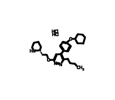 CCCCc1nnc(OCC[C@H]2CCCCN2)cc1-c1ccc(OC2CCCCC2)cc1.Cl.Cl